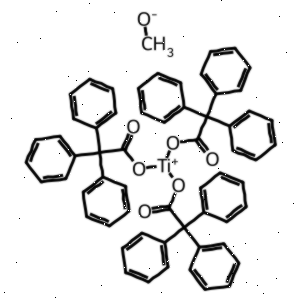 C[O-].O=C([O][Ti+]([O]C(=O)C(c1ccccc1)(c1ccccc1)c1ccccc1)[O]C(=O)C(c1ccccc1)(c1ccccc1)c1ccccc1)C(c1ccccc1)(c1ccccc1)c1ccccc1